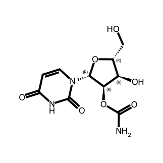 NC(=O)O[C@@H]1[C@H](O)[C@@H](CO)O[C@H]1n1ccc(=O)[nH]c1=O